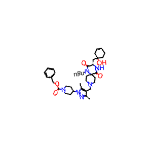 CCCCN1C(=O)[C@@H](CC2(O)CCCCC2)NC(=O)C12CCN(Cc1c(C)nn(C3CCN(C(=O)OCc4ccccc4)CC3)c1C)CC2